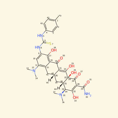 Cc1ccc(NC(=S)Nc2cc(N(C)C)c3c(c2O)C(=O)C2=C(O)[C@]4(O)C(=O)C(C(N)=O)=C(O)[C@@H](N(C)C)[C@@H]4C[C@@H]2C3)cc1